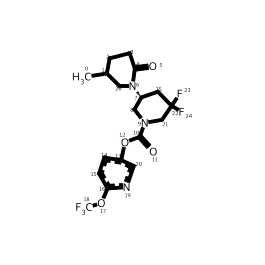 CC1CCC(=O)N([C@H]2CN(C(=O)Oc3ccc(OC(F)(F)F)nc3)CC(F)(F)C2)C1